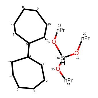 C1CCCC(C2CCCCCC2)CC1.CCCO[SiH](OCCC)OCCC